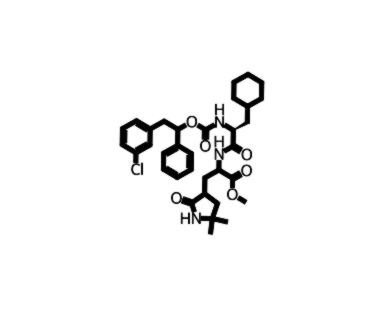 COC(=O)C(CC1CC(C)(C)NC1=O)NC(=O)[C@H](CC1CCCCC1)NC(=O)OC(Cc1cccc(Cl)c1)c1ccccc1